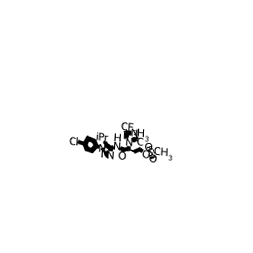 Cc1nc(C(F)(F)F)cn1[C@@H](CCOS(C)(=O)=O)C(=O)Nc1nnn(-c2ccc(Cl)cc2)c1C(C)C